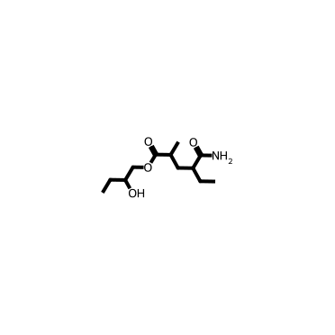 CCC(O)COC(=O)C(C)CC(CC)C(N)=O